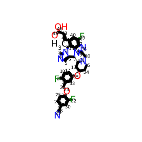 CCn1cncc1Cn1c(CN2CCC(Oc3ccc(F)c(COc4ccc(C#N)cc4F)c3)CC2)nc2c(F)cc(/C=C/C(=O)O)cc21